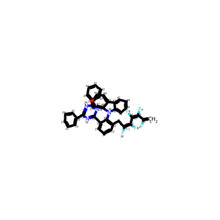 C=C(F)/C(F)=C(F)\C(F)=C(\F)Cc1cccc(-c2nc(-c3ccccc3)nc(-c3ccccc3)n2)c1-n1c2ccccc2c2ccccc21